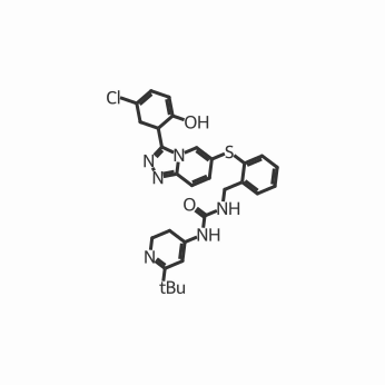 CC(C)(C)C1=NCCC(NC(=O)NCc2ccccc2Sc2ccc3nnc(C4CC(Cl)=CC=C4O)n3c2)=C1